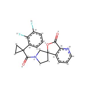 O=C1OC2(CCN(C(=O)C3(c4cccc(F)c4F)CC3)C2)c2cccnc21